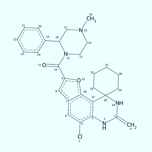 C=C1Nc2c(Cl)cc3cc(C(=O)N4CCN(C)CC4c4ccccc4)oc3c2C2(CCCCC2)N1